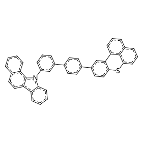 c1cc(-c2ccc(-c3ccc4c(c3)-c3cccc5cccc(c35)S4)cc2)cc(-n2c3ccccc3c3ccc4ccccc4c32)c1